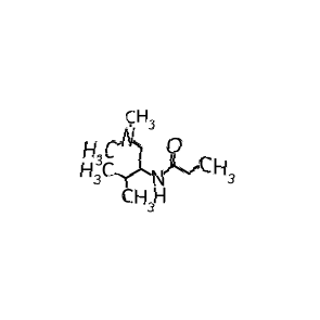 CCC(=O)NC(CN(C)C)C(C)C